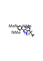 [CH2]CC(C)(c1cc(C)nc2c(-c3c(NC)cc(NC)cc3NC)cn(C)c12)C1CC1